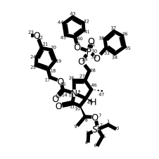 CC[Si](CC)(CC)OC(C)[C@H]1C(=O)[N+]2(C(=O)OCc3ccc(OC)cc3)C=C(COP(=O)(Oc3ccccc3)Oc3ccccc3)[C@H](C)[C@@H]12